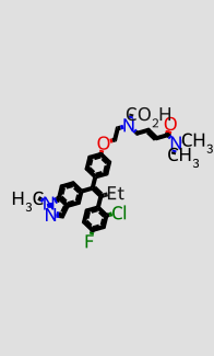 CCC(=C(c1ccc(OCCN(CC=CC(=O)N(C)C)C(=O)O)cc1)c1ccc2c(cnn2C)c1)c1ccc(F)cc1Cl